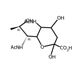 CC(=O)NC1C(O)CC(O)(C(=O)O)OC1[C@H](NC(C)=O)[C@@H](C)O